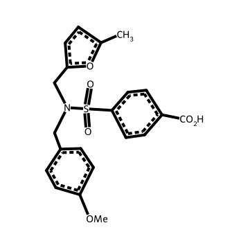 COc1ccc(CN(Cc2ccc(C)o2)S(=O)(=O)c2ccc(C(=O)O)cc2)cc1